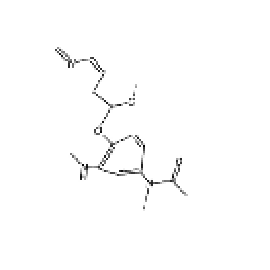 C=N/C=C\CC(OC)Oc1ccc(N(C)C(C)=O)cc1NC